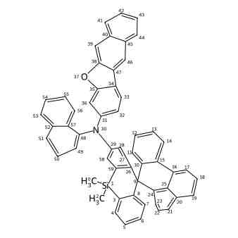 C[Si]1(C)c2ccccc2C2(c3ccccc3-c3cccc4cccc2c34)c2ccc(N(c3ccc4c(c3)oc3cc5ccccc5cc34)c3cccc4ccccc34)cc21